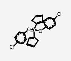 Clc1ccc([O][Zr]([O]c2ccc(Cl)cc2)([C]2=CC=CC2)[C]2=CC=CC2)cc1